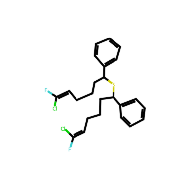 FC(Cl)=CCCCC(SC(CCCC=C(F)Cl)c1ccccc1)c1ccccc1